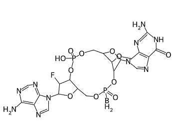 BP1(=O)OCC2OC(n3cnc4c(N)ncnc43)C(F)C2OP(=O)(O)OCC2OC(n3cnc4c(=O)[nH]c(N)nc43)C(O1)C2OC